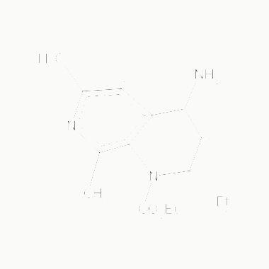 CCOC(=O)N1c2c(cc(C)nc2C)C(N)CC1CC